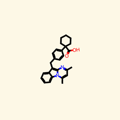 Cc1cc(C)n2c(n1)c(Cc1ccc(C3(C(=O)O)CCCCC3)cc1)c1ccccc12